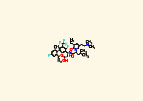 Cc1cc(F)cc(C)c1-c1cc(C(CC(=O)O)NC(=O)C(CC(C)C)n2cc(CCN(C)C)cc(C)c2=O)c(F)c(C(F)(F)F)c1